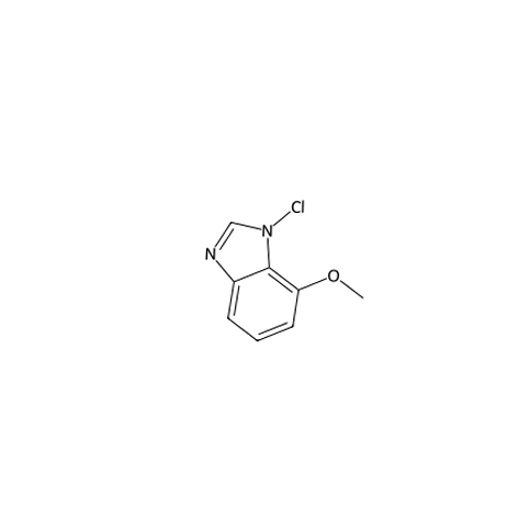 COc1cccc2ncn(Cl)c12